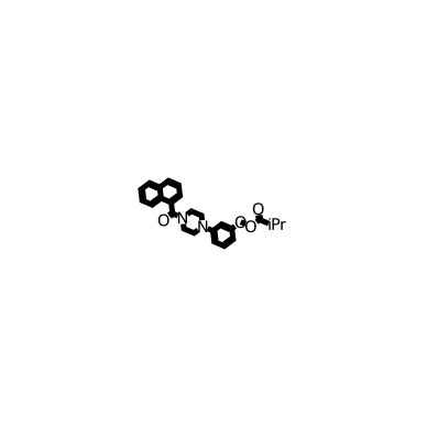 CC(C)C(=O)OOc1cccc(N2CCN(C(=O)c3cccc4ccccc34)CC2)c1